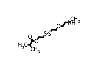 CNCCOCCSSCCOC(=O)C(C)C